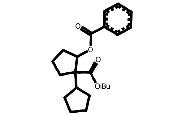 CC(C)COC(=O)C1(C2CCCC2)CCCC1OC(=O)c1ccccc1